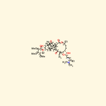 CC[C@H]1CCC[C@H](O[C@H](O)/C=C/[C@@H](CC)N(C)C)[C@@H](C)C(=O)C2=C[C@H]3[C@@H]4C[C@H](O[C@H](O)C(OC)C(OC)[C@H](CC)OC)C[C@H]4[C@H]4O[C@H]4[C@H]3[C@@H]2CC(=O)O1